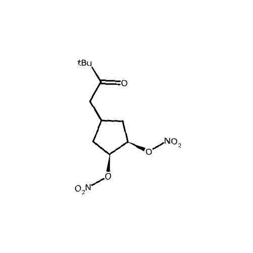 CC(C)(C)C(=O)CC1C[C@H](O[N+](=O)[O-])[C@H](O[N+](=O)[O-])C1